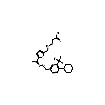 CC(=NOCc1ccc(C2CCCCC2)c(C(F)(F)F)c1)c1ccc(CNCCC(=O)O)o1